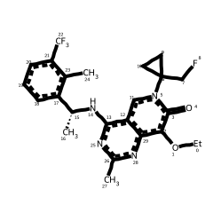 CCOc1c(=O)n(C2(CF)CC2)cc2c(N[C@H](C)c3cccc(C(F)(F)F)c3C)nc(C)nc12